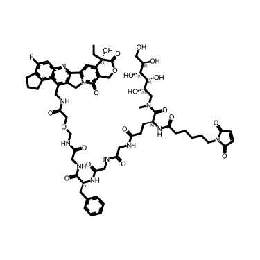 CC[C@@]1(O)C(=O)OCc2c1cc1n(c2=O)Cc2c-1nc1cc(F)c3c(c1c2CNC(=O)COCNC(=O)CNC(=O)[C@H](Cc1ccccc1)NC(=O)CNC(=O)CNC(=O)CC[C@H](NC(=O)CCCCCN1C(=O)C=CC1=O)C(=O)N(C)C[C@H](O)[C@@H](O)[C@H](O)[C@H](O)CO)CCC3